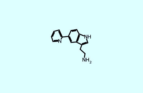 NCCc1c[nH]c2ccc(-c3ccccn3)cc12